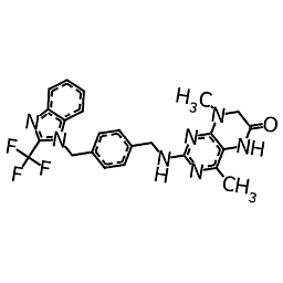 Cc1nc(NCc2ccc(Cn3c(C(F)(F)F)nc4ccccc43)cc2)nc2c1NC(=O)CN2C